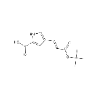 CC(C)(C)OC(=O)/C=C/c1c[nH]c(C(=O)O)c1